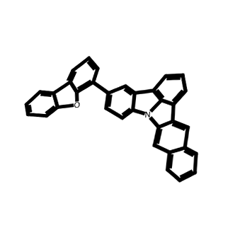 c1ccc2cc3c(cc2c1)c1cccc2c4cc(-c5cccc6c5oc5ccccc56)ccc4n3c21